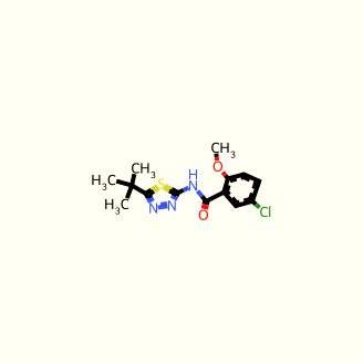 COc1ccc(Cl)cc1C(=O)Nc1nnc(C(C)(C)C)s1